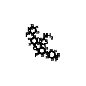 NC1=NC2(CS1)c1cc(-c3cccnc3F)ccc1Oc1c(F)cc(N3CCC(F)(F)CC3)cc12